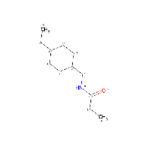 CCC(=O)NCC1CCC(CC)CC1